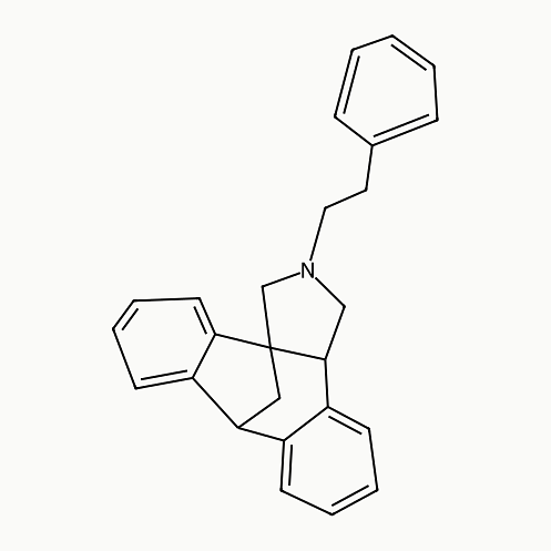 c1ccc(CCN2CC3c4ccccc4C4CC3(C2)c2ccccc24)cc1